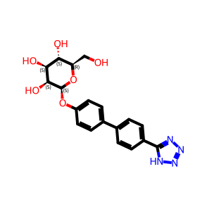 OC[C@H]1O[C@@H](Oc2ccc(-c3ccc(-c4nnn[nH]4)cc3)cc2)[C@@H](O)[C@@H](O)[C@@H]1O